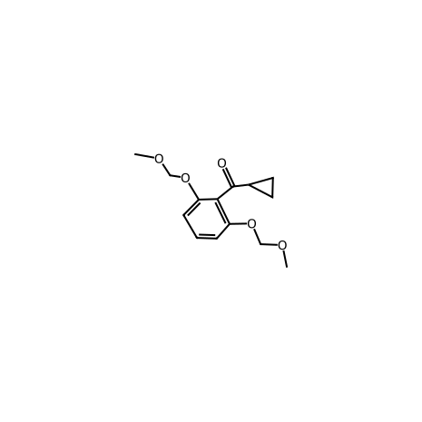 COCOc1cccc(OCOC)c1C(=O)C1CC1